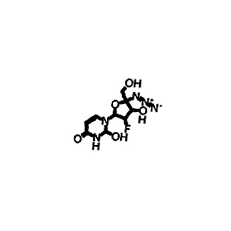 [N-]=[N+]=NC1(CO)OC(N2C=CC(=O)NC2O)C(F)C1O